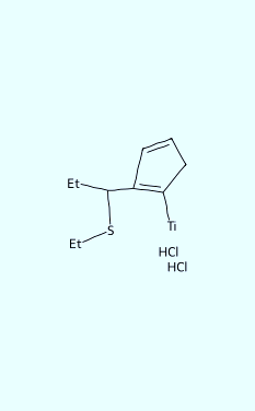 CCSC(CC)C1=[C]([Ti])CC=C1.Cl.Cl